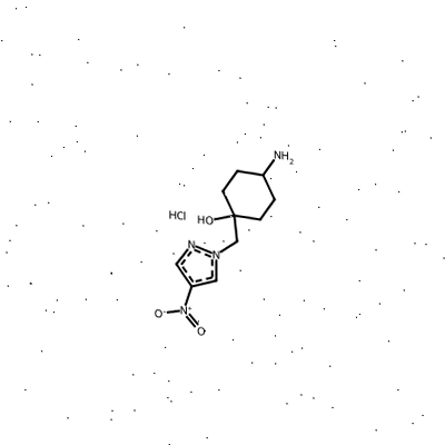 Cl.NC1CCC(O)(Cn2cc([N+](=O)[O-])cn2)CC1